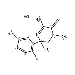 CN1CC(C)(c2cc(N)ccc2F)N=C(N)C1=O.Cl